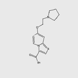 CC(C)C(=O)c1cnc2cc(OCCN3CCCC3)ccn12